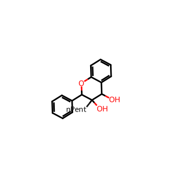 CCCCCC1(O)C(O)c2ccccc2OC1c1ccccc1